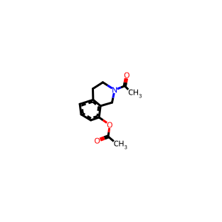 CC(=O)Oc1cccc2c1CN(C(C)=O)CC2